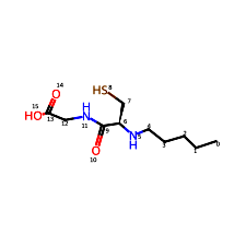 CCCCCN[C@H](CS)C(=O)NCC(=O)O